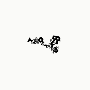 C#Cc1c(F)ccc2cccc(-c3ncc4c(N5C[C@H]6CC[C@@H](C5)N6)nc(OCCN(C)Cc5cccc(S(=O)(=O)n6cnc(C7CC7)n6)c5)nc4c3F)c12